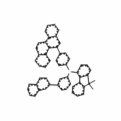 CC1(C)c2ccccc2-c2c(N(c3ccc(-c4cc5ccccc5c5ccc6ccccc6c45)cc3)c3cccc(-c4ccc5ccccc5c4)c3)cccc21